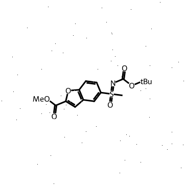 COC(=O)c1cc2cc(S(C)(=O)=NC(=O)OC(C)(C)C)ccc2o1